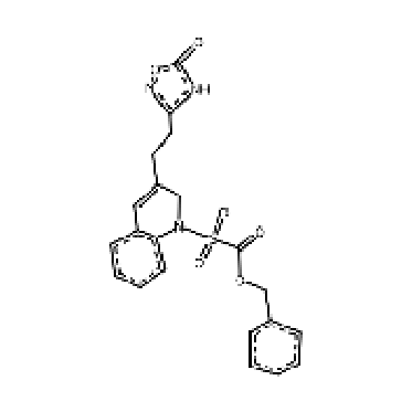 O=C(OCc1ccccc1)S(=O)(=O)N1CC(CCc2noc(=O)[nH]2)=Cc2ccccc21